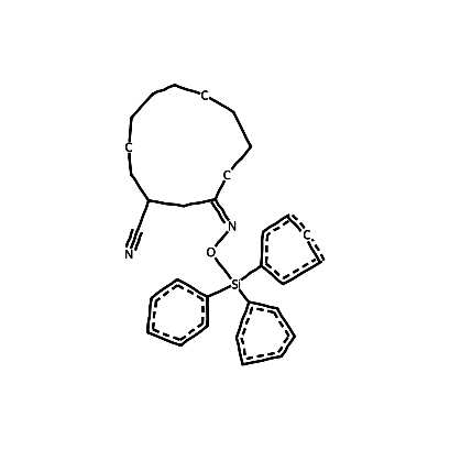 N#CC1CCCCCCCCCC(=NO[Si](c2ccccc2)(c2ccccc2)c2ccccc2)C1